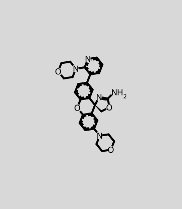 NC1=N[C@@]2(CO1)c1cc(-c3cccnc3N3CCOCC3)ccc1Oc1ccc(N3CCOCC3)cc12